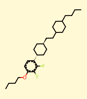 CCCCOc1ccc([C@H]2CC[C@H](CCC3CCC(CCCC)CC3)CC2)c(F)c1F